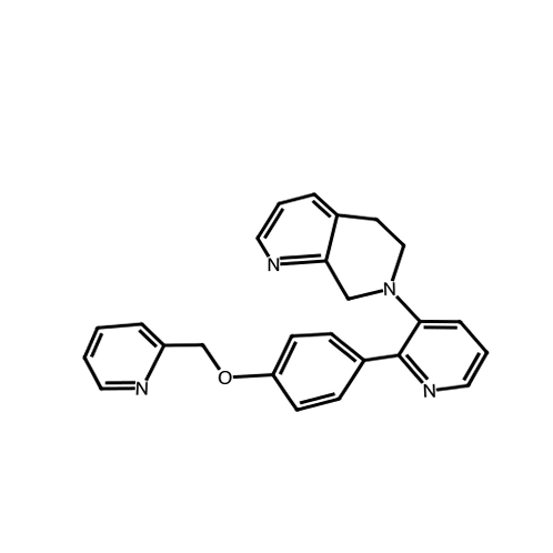 c1ccc(COc2ccc(-c3ncccc3N3CCc4cccnc4C3)cc2)nc1